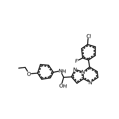 CCOc1ccc(NC(O)c2cc3nccc(-c4ccc(Cl)cc4F)n3n2)cc1